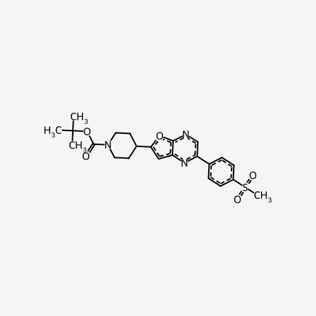 CC(C)(C)OC(=O)N1CCC(c2cc3nc(-c4ccc(S(C)(=O)=O)cc4)cnc3o2)CC1